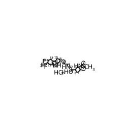 CS(=O)(=O)Nc1cccc([C@@H](O)CNCCOc2ccc3c(c2)[nH]c2cc(C(F)(F)F)ccc23)c1.Cl